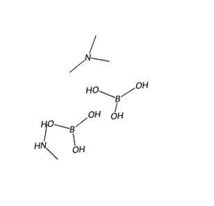 CN(C)C.CNC.OB(O)O.OB(O)O